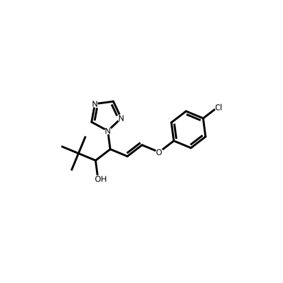 CC(C)(C)C(O)C(C=COc1ccc(Cl)cc1)n1cncn1